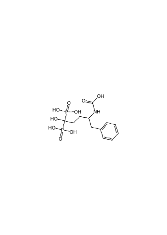 O=C(O)NC(CCC(O)(P(=O)(O)O)P(=O)(O)O)Cc1ccccc1